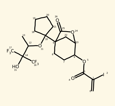 C=C(I)C(=O)OC1CCC2(C3(OC(C)C(O)(C(F)(F)F)C(F)(F)F)CCCC3)CC1OC2=O